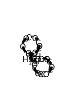 C[Si]1(C=C=C[Si]2(C)OCCOCCOCCOCCOCCO2)OCCOCCOCCOCCOCCO1